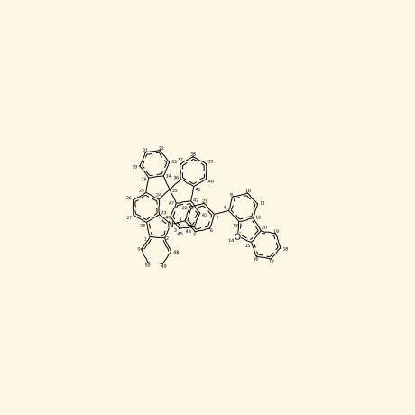 C1=c2c(n(-c3ccc(-c4cccc5c4oc4ccccc45)cc3)c3c4c(ccc23)-c2ccccc2C42c3ccccc3-c3ccccc32)=CCC1